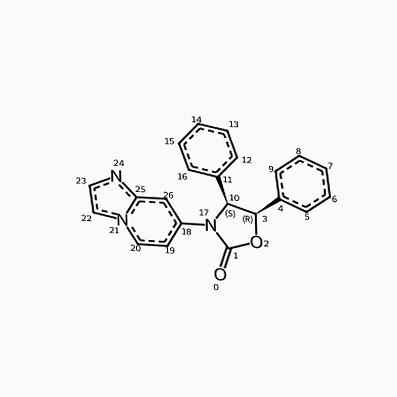 O=C1O[C@H](c2ccccc2)[C@H](c2ccccc2)N1c1ccn2ccnc2c1